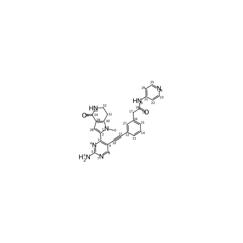 Cn1c(-c2nc(N)ncc2C#Cc2cccc(CC(=O)Nc3ccncc3)c2)cc2c1CCNC2=O